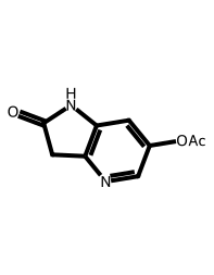 CC(=O)Oc1cnc2c(c1)NC(=O)C2